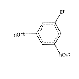 [CH2]Cc1cc(CCCCCCCC)cc(CCCCCCCC)c1